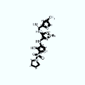 CC[C@@H](Nc1n[s+]([O-])nc1Nc1csc(S(=O)(=O)N2CCCC2)c1O)c1cc(C)co1